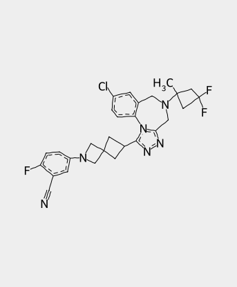 CC1(N2Cc3cc(Cl)ccc3-n3c(nnc3C3CC4(C3)CN(c3ccc(F)c(C#N)c3)C4)C2)CC(F)(F)C1